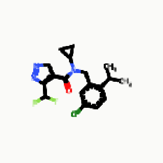 CC(C)c1ccc(Cl)cc1CN(C(=O)C1=C(C(F)F)N=NC1)C1CC1